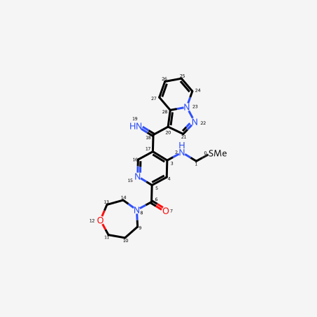 CSCNc1cc(C(=O)N2CCCOCC2)ncc1C(=N)c1cnn2ccccc12